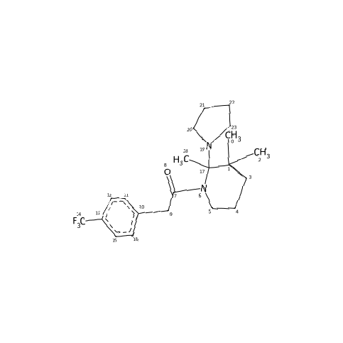 CC1(C)CCCN(C(=O)Cc2ccc(C(F)(F)F)cc2)C1(C)N1CCCC1